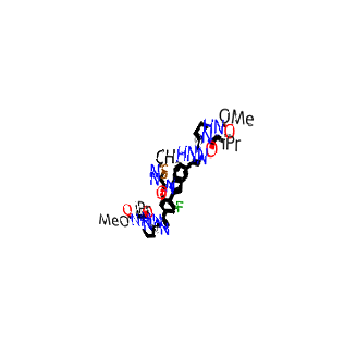 COC(=O)NC(C(=O)N1CCC[C@@H]1c1ncc(-c2ccc3c(c2)cc2n3C(c3nnc(C)s3)Oc3cc(-c4cnc([C@H]5CCCN5C(=O)[C@H](NC(=O)OC)C(C)C)[nH]4)cc(F)c3-2)[nH]1)C(C)C